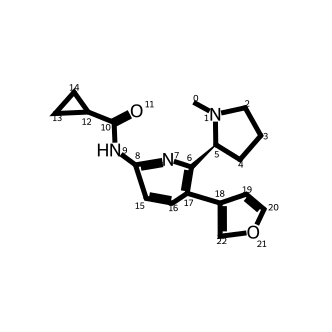 CN1CCC[C@H]1c1nc(NC(=O)C2CC2)ccc1-c1ccoc1